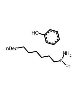 CCCCCCCCCCCCCCCCN(N)CC.Oc1ccccc1